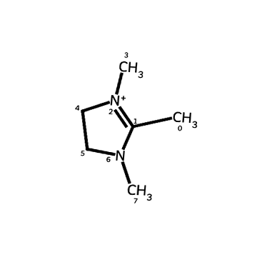 CC1=[N+](C)CCN1C